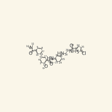 COc1ccc(-c2cccc(C(=O)N(C)C)c2)cc1[S+]([O-])Nc1cccc(NCCNC(=O)c2ccc(Cl)s2)c1